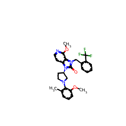 COc1cccc(C)c1N1CC[C@@H](n2c(=O)n(Cc3ccccc3C(F)(F)F)c3c(OC)nccc32)C1